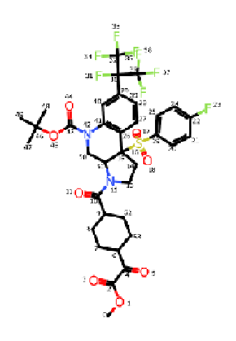 COC(=O)C(=O)C1CCC(C(=O)N2CCC3(S(=O)(=O)c4ccc(F)cc4)c4ccc(C(F)(C(F)(F)F)C(F)(F)F)cc4N(C(=O)OC(C)(C)C)CC23)CC1